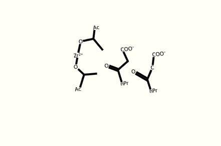 CC(=O)C(C)[O][Zr+2][O]C(C)C(C)=O.CCCC(=O)CC(=O)[O-].CCCC(=O)CC(=O)[O-]